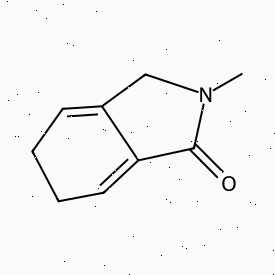 CN1CC2=CCCC=C2C1=O